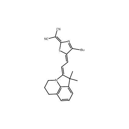 CC(C)(C)c1nc(=C(C#N)C#N)s/c1=C\C=C1\N2CCCc3cccc(c32)C1(C)C